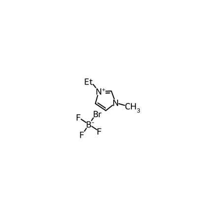 CC[n+]1ccn(C)c1.F[B-](F)(F)Br